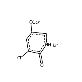 O=C([O-])c1c[nH]c(=O)c(Cl)c1.[Li+]